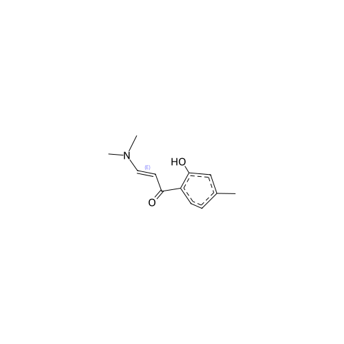 Cc1ccc(C(=O)/C=C/N(C)C)c(O)c1